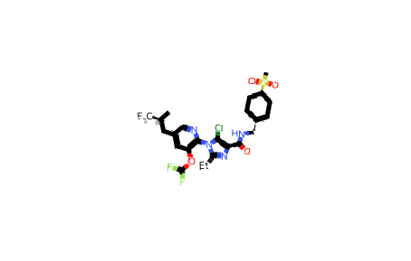 CCc1nc(C(=O)NC[C@H]2CC[C@H](S(C)(=O)=O)CC2)c(Cl)n1-c1ncc(C[C@H](C)C(F)(F)F)cc1OC(F)F